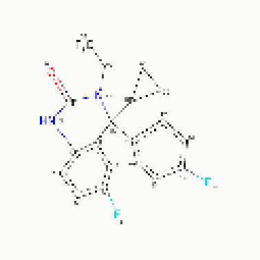 O=C1Nc2ccc(F)cc2C(c2ccc(F)cc2)(C2CC2)N1CC(F)(F)F